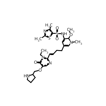 CCn1c(C=CCCC2=CN(C)C(OC)C(NS(=O)(=O)c3sc(C)nc3C)=C2)ncc(OCC2CCCN2)c1=O